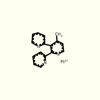 Cc1ccnc(-c2ccccn2)c1-c1ccccn1.[Pt+2]